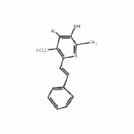 CC(=O)c1c(O)c(C)nc(/C=C/c2ccccc2)c1C(=O)O